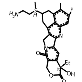 CC[C@@]1(O)C(=O)OCc2c1cc1n(c2=O)Cc2c-1nc1cc(F)c(C)c3c1c2CC([SH](C)CCN)C3